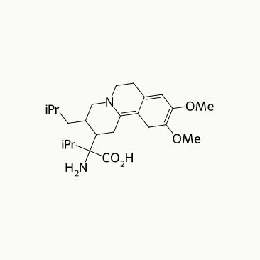 COC1=C(OC)CC2=C3CC(C(N)(C(=O)O)C(C)C)C(CC(C)C)CN3CCC2=C1